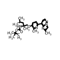 Cc1cn2nccc(-c3ccc(OC[C@](C)(CC(C)C)NC(=O)OC(C)(C)C)c(C)n3)c2n1